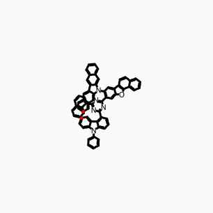 c1ccc(-n2c3ccccc3c3c(-c4nc(-c5cc6oc7c8ccccc8ccc7c6cc5-n5c6cc7ccccc7cc6c6cc7ccccc7cc65)nc(-c5cccc6ccccc56)n4)cccc32)cc1